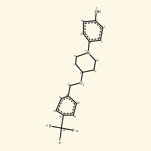 Oc1ccc(N2CCC(OCc3ccc(C(F)(F)F)cc3)CC2)cc1